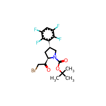 CC(C)(C)OC(=O)N1C[C@@H](c2c(F)c(F)cc(F)c2F)C[C@@H]1C(=O)CBr